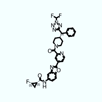 O=C(Nc1ccc2oc(-c3ccnc(C(=O)N4CCC([C@@H](c5ccccc5)c5nnn(C(F)F)n5)CC4)c3)nc2c1)[C@@H]1C[C@@H]1F